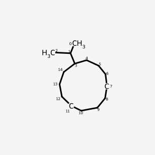 CC(C)C1CCCCCCCCCCC1